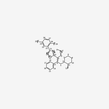 C/N=C\C(=C(CC1CCCC[C@H]1C)c1ccccc1)c1nc(-c2cc(F)ccc2F)no1